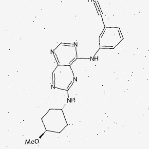 C#Cc1cccc(Nc2ncnc3cnc(N[C@H]4CC[C@H](OC)CC4)nc23)c1